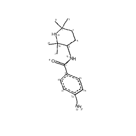 CC1(C)CCC(NC(=O)c2ccc(N)cc2)C(C)(C)N1